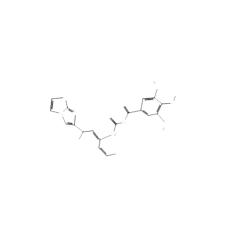 C/C=C\C(=C/C(C)c1cn2ccsc2n1)NC(=S)NC(=O)c1cc(OC)c(OC)c(OC)c1